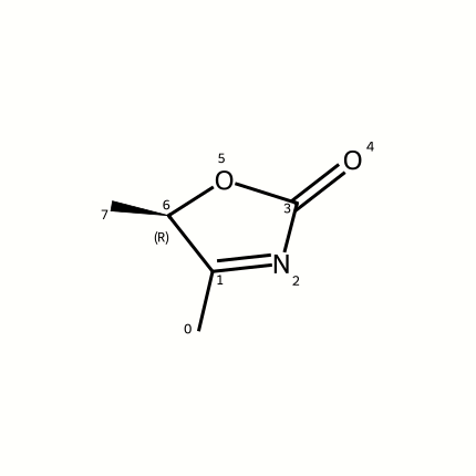 CC1=NC(=O)O[C@@H]1C